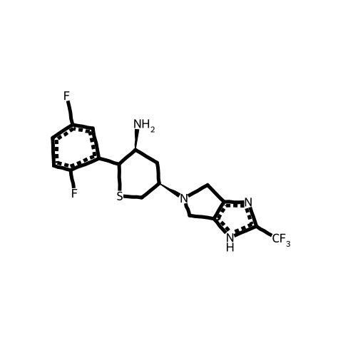 N[C@H]1C[C@@H](N2Cc3nc(C(F)(F)F)[nH]c3C2)CSC1c1cc(F)ccc1F